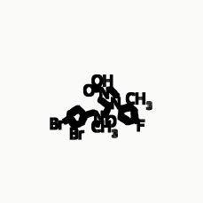 Cc1cc(F)ccc1N1CCN(C(=O)O)CC1C(=O)N(C)Cc1ccc(Br)c(Br)c1